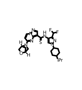 CC(C)C1CCC(n2cc(NC(=S)c3cnn4ccc(N5C[C@H]6C[C@@H]5CO6)nc34)c(C(F)F)n2)CC1